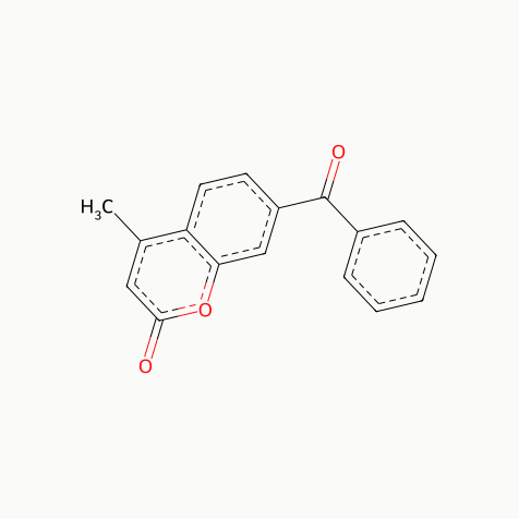 Cc1cc(=O)oc2cc(C(=O)c3ccccc3)ccc12